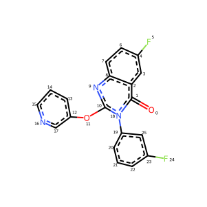 O=c1c2cc(F)ccc2nc(Oc2cccnc2)n1-c1cccc(F)c1